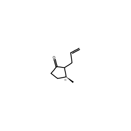 C=CCC1C(=O)CC[C@@H]1C